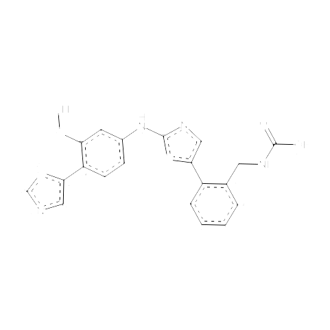 COc1cc(Nc2ncc(-c3ccccc3CNC(=O)O)o2)ccc1-c1cnco1